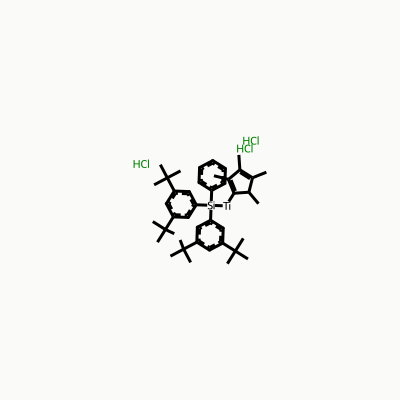 CC1=C(C)C(C)[C]([Ti][Si](c2ccccc2)(c2cc(C(C)(C)C)cc(C(C)(C)C)c2)c2cc(C(C)(C)C)cc(C(C)(C)C)c2)=C1C.Cl.Cl.Cl